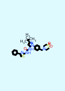 CC(C)(C)c1cc(NC(=O)Nc2nc(-c3ccccc3)cs2)n(-c2ccc(CN3CCS(=O)(=O)CC3)cc2)n1